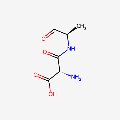 C[C@H](C=O)NC(=O)[C@H](N)C(=O)O